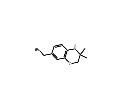 CC(C)Cc1ccc2c(c1)OCC(C)(C)N2